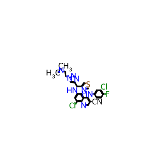 CN(C)CCn1cc([C@@H](Nc2cc(Cl)c3ncc(C#N)c(Nc4ccc(F)c(Cl)c4)c3c2)c2cscn2)nn1